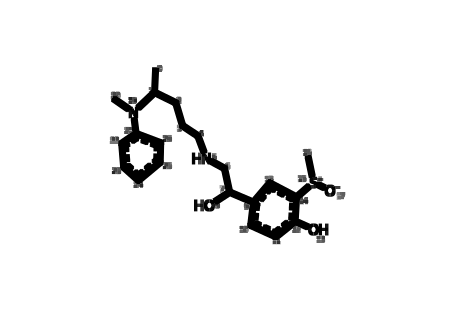 CC(CCCNCC(O)c1ccc(O)c([S+](C)[O-])c1)N(C)c1ccccc1